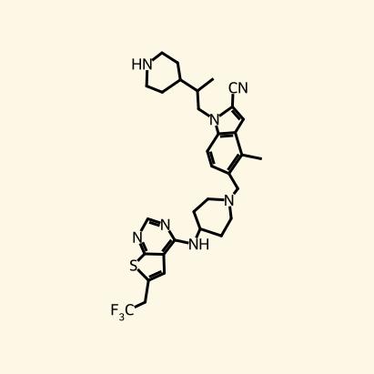 Cc1c(CN2CCC(Nc3ncnc4sc(CC(F)(F)F)cc34)CC2)ccc2c1cc(C#N)n2CC(C)C1CCNCC1